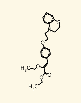 CCOC(=O)/C(=C/c1ccc(OCCN2CCSc3ccccc32)cc1)OCC